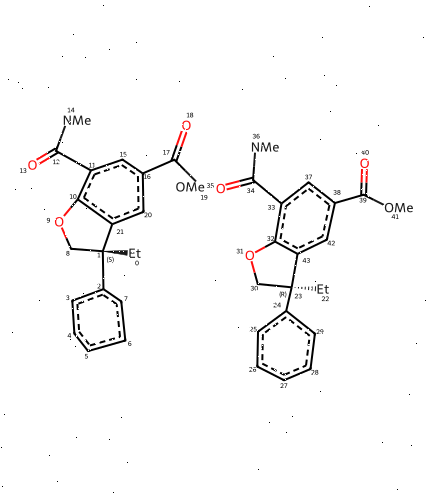 CC[C@@]1(c2ccccc2)COc2c(C(=O)NC)cc(C(=O)OC)cc21.CC[C@]1(c2ccccc2)COc2c(C(=O)NC)cc(C(=O)OC)cc21